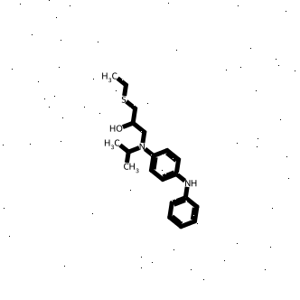 CCSCC(O)CN(c1ccc(Nc2ccccc2)cc1)C(C)C